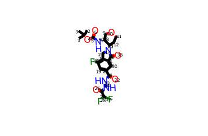 CC(C)(C)OC(=O)N[C@@H]1COCC[C@H]1N1Cc2c(F)cc(C(=O)NNC(=O)C(F)F)cc2C1=O